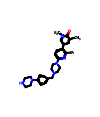 Cc1cc(-c2ccc(N3CCN(Cc4ccc(N5CCNCC5)cc4)CC3)nc2C(C)C)cn(C)c1=O